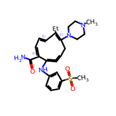 CCC1=C(/N2CCN(C)CC2)CC=C=C(Nc2cccc(S(C)(=O)=O)c2)\C(C(N)=O)=C/C=C/1